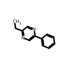 CCc1cnc(-c2ccccc2)cn1